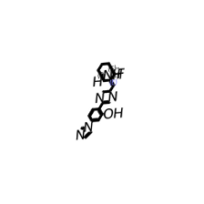 C[C@]12CCC[C@H](C/C(=C\c3cnc(-c4ccc(-n5ccnc5)cc4O)cn3)[C@H]1F)N2